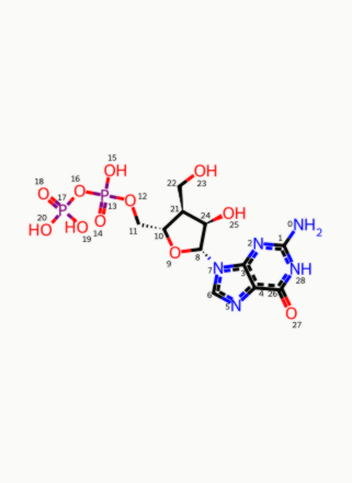 Nc1nc2c(ncn2[C@@H]2O[C@H](COP(=O)(O)OP(=O)(O)O)[C@@H](CO)[C@H]2O)c(=O)[nH]1